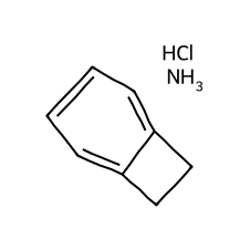 Cl.N.c1ccc2c(c1)CC2